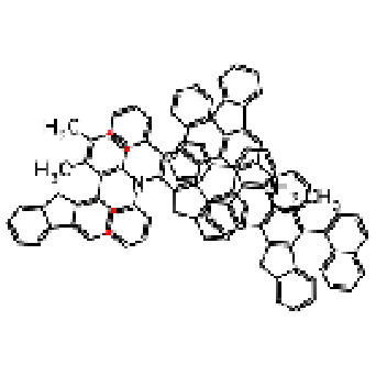 Cc1ccc(N(c2ccccc2)c2c3c(c(-c4c5c(cc(-c6ccccc6)c4-c4ccccc4)-c4ccccc4C5)c(-c4ccccc4)c2-c2ccccc2)-c2c(ccc(-c4c(C)c(C)c(-c5cccc6ccccc56)c5c4Cc4ccccc4-5)c2-c2ccccc2-c2ccccc2)C3)c(-c2cccc3c2Cc2ccccc2-3)c1C